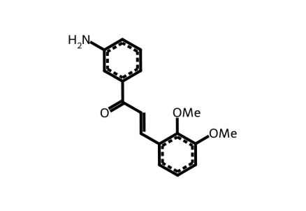 COc1cccc(C=CC(=O)c2cccc(N)c2)c1OC